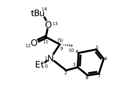 CCN(Cc1ccccc1)[C@@H](C)C(=O)OC(C)(C)C